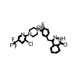 O=c1[nH]nc(Cc2ccc(F)c([PH]3(O)CCN(c4ncc(C(F)(F)F)cc4Cl)CC3)c2)c2ccccc12